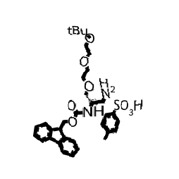 CC(C)(C)OCCOCCOC[C@H](CN)NC(=O)OCC1c2ccccc2-c2ccccc21.Cc1ccc(S(=O)(=O)O)cc1